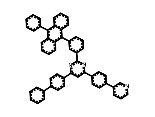 c1ccc(-c2ccc(-c3cc(-c4ccc(-c5cccnc5)cc4)nc(-c4cccc(-c5c6ccccc6c(-c6ccccc6)c6ccccc56)c4)n3)cc2)cc1